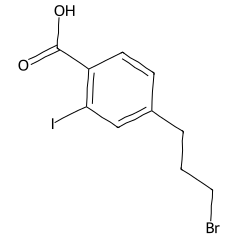 O=C(O)c1ccc(CCCBr)cc1I